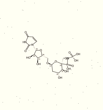 O=c1ccn([C@@H]2O[C@H](CO[C@@H]3C[C@@H](O)[C@H](O)[C@](CO)(P(=O)(O)OP(=O)(O)O)O3)[C@@H](O)[C@H]2O)c(=O)[nH]1